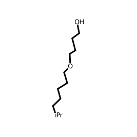 CC(C)CCCCCOCCCCO